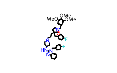 COc1cc(CN2CCC(CCCN3CCC(Nc4nc5ccccc5n4Cc4ccc(F)cc4)CC3)(Cc3ccc(F)cc3)C2=O)cc(OC)c1OC